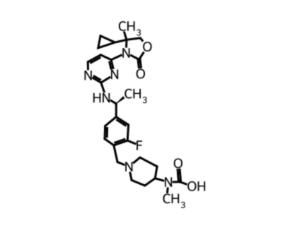 C[C@H](Nc1nccc(N2C(=O)OCC2(C)C2CC2)n1)c1ccc(CN2CCC(N(C)C(=O)O)CC2)c(F)c1